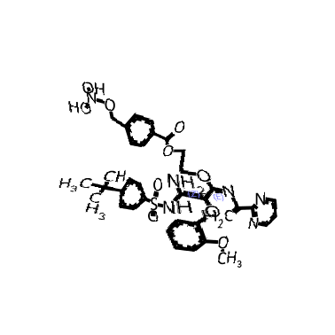 C=C(/N=C(OCCOC(=O)c1ccc(CON(O)O)cc1)\C(Oc1ccccc1OC)=C(/N)NS(=O)(=O)c1ccc(C(C)(C)C)cc1)c1ncccn1